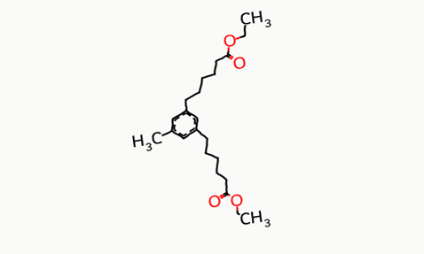 CCOC(=O)CCCCCc1cc(C)cc(CCCCCC(=O)OCC)c1